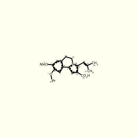 COc1cc2c(cc1OC(C)C)-c1cc(C(=O)O)c(C=C(C)C)n1CC2